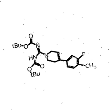 Cc1ccc(C2=CCN(C(=NC(=O)OC(C)(C)C)NC(=O)OC(C)(C)C)CC2)cc1F